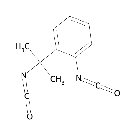 CC(C)(N=C=O)c1ccccc1N=C=O